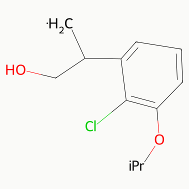 [CH2]C(CO)c1cccc(OC(C)C)c1Cl